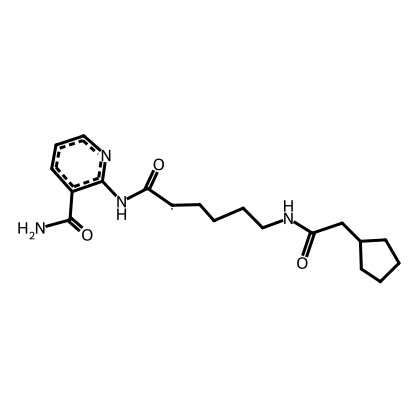 NC(=O)c1cccnc1NC(=O)[CH]CCCCNC(=O)CC1CCCC1